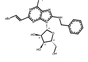 CCCCC=Cc1nc(N)c2nc(NCc3ccccc3)n([C@@H]3O[C@H](CO)[C@@H](O)[C@H]3O)c2n1